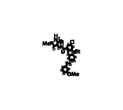 CCN(c1cc(Cl)cc(C(=O)NC/C(C(N)=O)=C(\C)NC)c1C)C1CCN(CCc2cccc(OC)c2)CC1